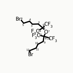 FC(F)(F)C(CCCCBr)(OC(CCCCBr)(C(F)(F)F)C(F)(F)F)C(F)(F)F